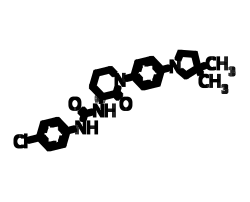 CC1(C)CCN(c2ccc(N3CCC[C@@H](NC(=O)Nc4ccc(Cl)cc4)C3=O)cc2)C1